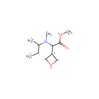 CCC(C)N(C)C(C(=O)OC)C1COC1